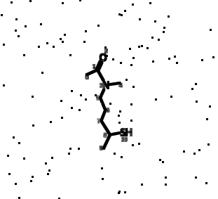 CC(=O)N(C)CCCC(C)S